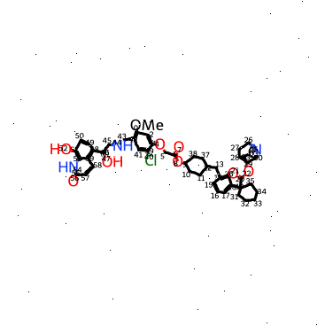 COc1cc(OCC(=O)OC2CCC(Cc3cccc(C4(C(=O)OC5CN6CCC5CC6)CCCCC4)c3)CC2)c(Cl)cc1CNC[C@H](O)c1ccc(O)c2[nH]c(=O)ccc12